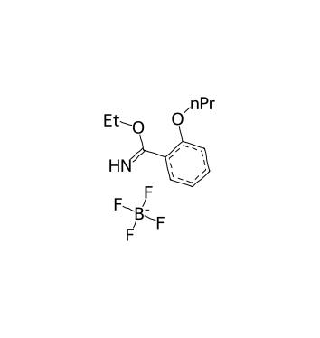 CCCOc1ccccc1C(=N)OCC.F[B-](F)(F)F